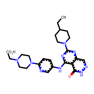 N#CCC1CCN(c2nc(Nc3ccc(N4CCN(CC(=O)O)CC4)nc3)c3c(=O)[nH]ncc3n2)CC1